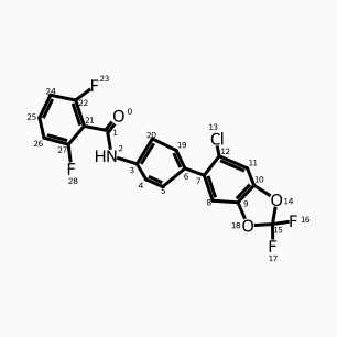 O=C(Nc1ccc(-c2cc3c(cc2Cl)OC(F)(F)O3)cc1)c1c(F)cccc1F